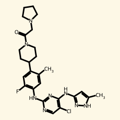 Cc1cc(Nc2nc(Nc3cc(C)c(C4CCN(C(=O)CN5CCCC5)CC4)cc3F)ncc2Cl)n[nH]1